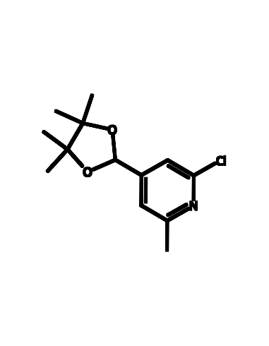 Cc1cc(C2OC(C)(C)C(C)(C)O2)cc(Cl)n1